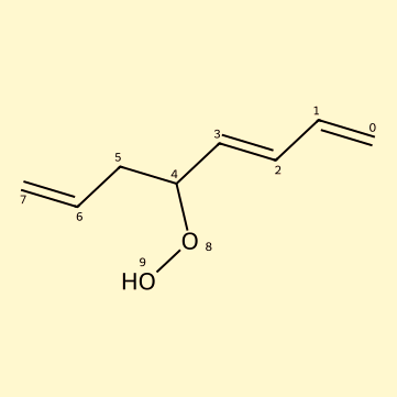 C=C/C=C/C(CC=C)OO